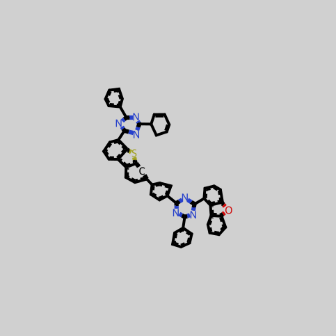 C1=CCC(c2nc(-c3ccccc3)nc(-c3cccc4c3sc3cc(-c5ccc(-c6nc(-c7ccccc7)nc(-c7cccc8oc9ccccc9c78)n6)cc5)ccc34)n2)C=C1